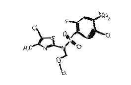 CCOCN(c1nc(C)c(Cl)s1)S(=O)(=O)c1cc(Cl)c(N)cc1F